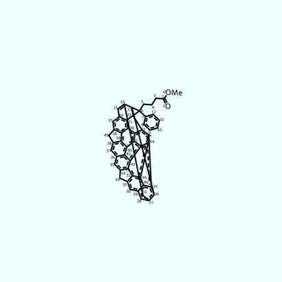 COC(=O)CCCC1(c2ccccc2)C23C4=Cc5cc6c7c8c5C12c1c2c5c3c(cc3cc9c%10c%11c(cc%12cc(c7c7c%12c%11c(c2c%10c35)c7c18)C6)C9)C4